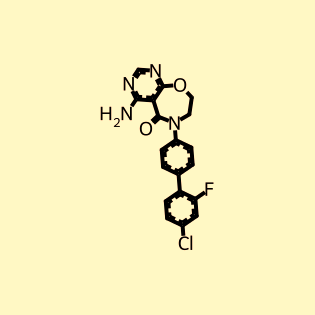 Nc1ncnc2c1C(=O)N(c1ccc(-c3ccc(Cl)cc3F)cc1)CCO2